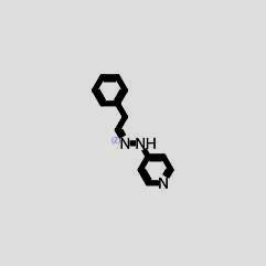 C(/Cc1ccccc1)=N/Nc1ccncc1